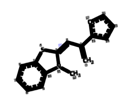 C=C(/C=C1/Sc2ccccc2N1C)c1ccco1